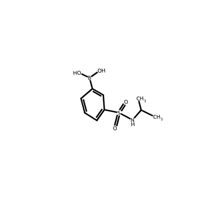 CC(C)NS(=O)(=O)c1cccc(B(O)O)c1